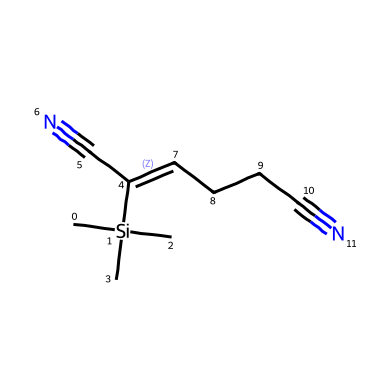 C[Si](C)(C)/C(C#N)=C\CCC#N